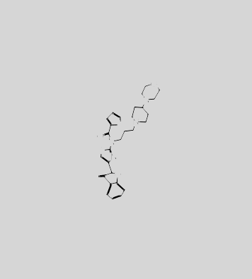 O=C1c2ccccc2OC1c1csc(N(CCCN2CCC(N3CCOCC3)CC2)C(=O)c2cccs2)n1